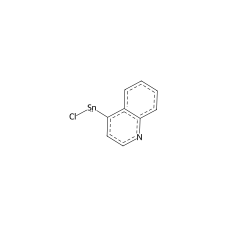 [Cl][Sn][c]1ccnc2ccccc12